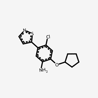 Nc1cc(-c2ccns2)c(Cl)cc1OC1CCCC1